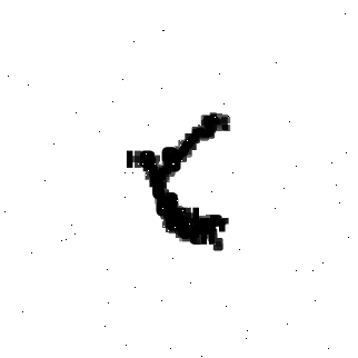 CC/C=C\C/C=C\C/C=C\CCCCCCCC(=O)OCCCCN(CCCCO)CCCCCC(=O)OC1CCC2(C)C(=CCC3C2CCC2(C)C(C(C)CCCC(C)C)CCC32)C1